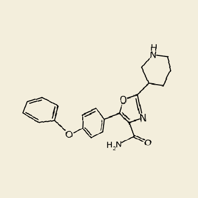 NC(=O)c1nc(C2CCCNC2)oc1-c1ccc(Oc2ccccc2)cc1